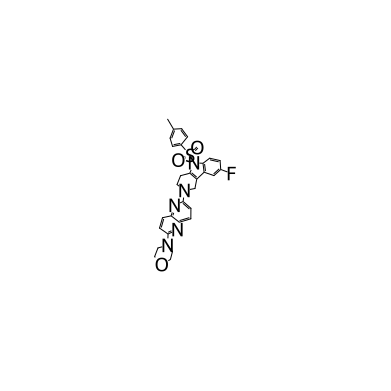 Cc1ccc(S(=O)(=O)n2c3c(c4cc(F)ccc42)CN(c2ccc4nc(N5CCOCC5)ccc4n2)CC3)cc1